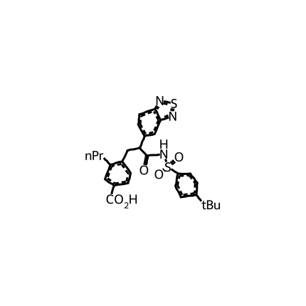 CCCc1cc(C(=O)O)ccc1CC(C(=O)NS(=O)(=O)c1ccc(C(C)(C)C)cc1)c1ccc2nsnc2c1